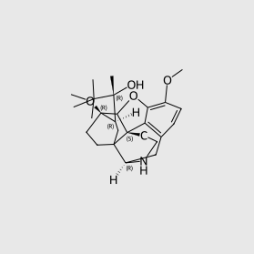 COc1ccc2c3c1OC1[C@@]4(OC)CCC5(C[C@@H]4[C@@](C)(O)C(C)(C)C)[C@@H](C2)NCC[C@]315